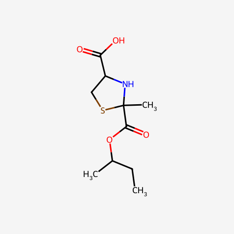 CCC(C)OC(=O)C1(C)NC(C(=O)O)CS1